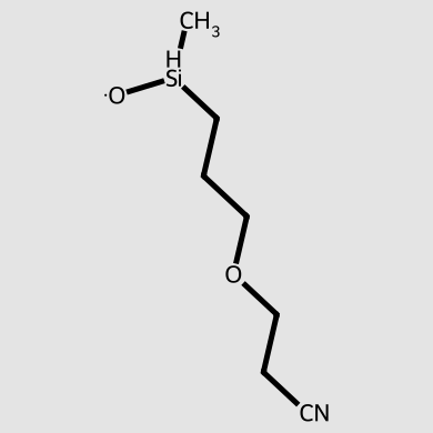 C[SiH]([O])CCCOCCC#N